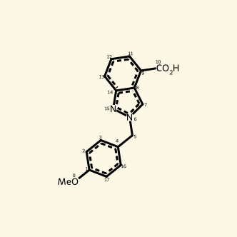 COc1ccc(Cn2cc3c(C(=O)O)cccc3n2)cc1